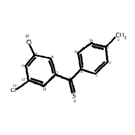 Cc1ccc(C(=S)c2cc(Cl)cc(Cl)c2)cc1